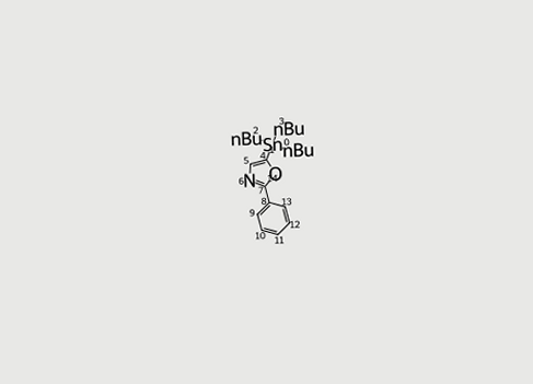 CCC[CH2][Sn]([CH2]CCC)([CH2]CCC)[c]1cnc(-c2ccccc2)o1